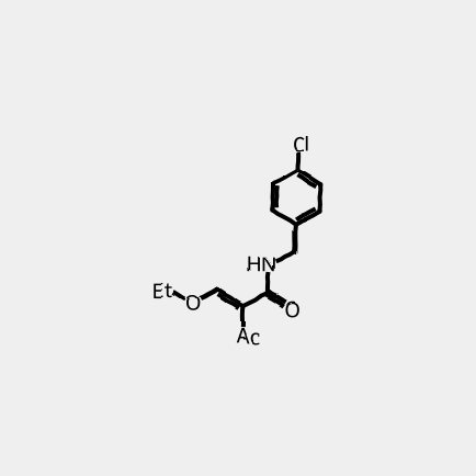 CCOC=C(C(C)=O)C(=O)NCc1ccc(Cl)cc1